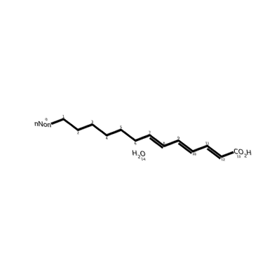 CCCCCCCCCCCCCCCC=CC=CC=CC(=O)O.O